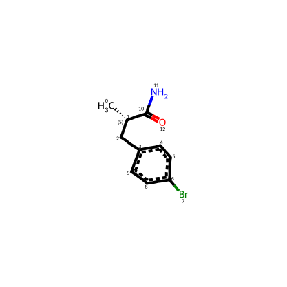 C[C@@H](Cc1ccc(Br)cc1)C(N)=O